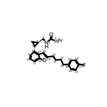 CCCC(=O)NC[C@@H]1C[C@H]1c1cccc2oc(CCCCc3ccc(F)cc3)cc12